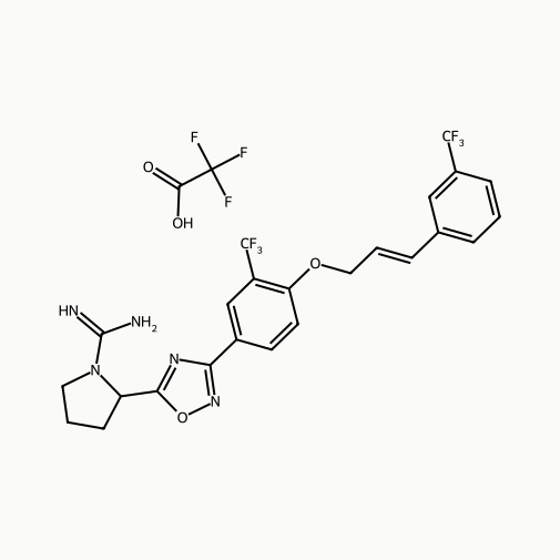 N=C(N)N1CCCC1c1nc(-c2ccc(OCC=Cc3cccc(C(F)(F)F)c3)c(C(F)(F)F)c2)no1.O=C(O)C(F)(F)F